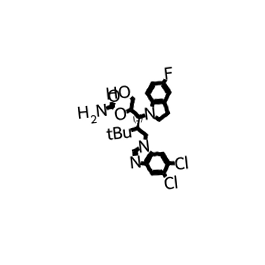 CC(C)(C)C(Cn1cnc2cc(Cl)c(Cl)cc21)[C@@H](C(CO)OC(N)=O)N1CCc2cc(F)ccc21